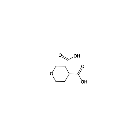 O=C(O)C1CCOCC1.O=CO